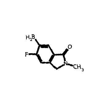 Bc1cc2c(cc1F)CN(C)C2=O